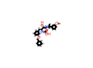 COc1cccc(C(C)(C)NC[C@@H](O)[C@H](Cc2cccc(OCc3ccccc3)c2)NC(=O)O)c1